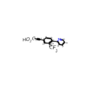 O=C(O)C#Cc1ccc(-c2ccccn2)c(C(F)(F)F)c1